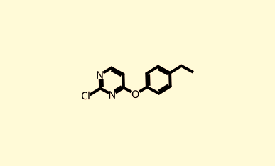 CCc1ccc(Oc2ccnc(Cl)n2)cc1